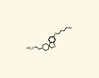 CC(=O)CCCCOc1ccc2c(c1)OCC21CCN(CCC(=O)O)CC1